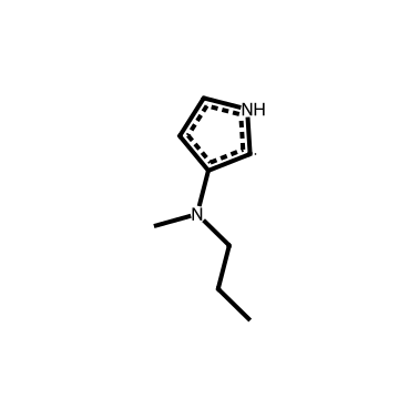 CCCN(C)c1[c][nH]cc1